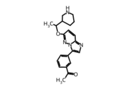 CC(=O)c1cccc(-c2cnc3ccc(OC(C)C4CCCNC4)nn23)c1